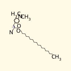 CCCCCCCCCCCCCCCCCCOC(=O)/C(C#N)=C\c1ccc(N(C)C)cc1